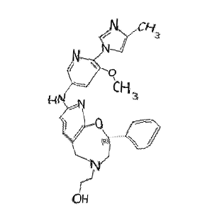 COc1cc(Nc2ccc3c(n2)O[C@H](c2ccccc2)CN(CCO)C3)cnc1-n1cnc(C)c1